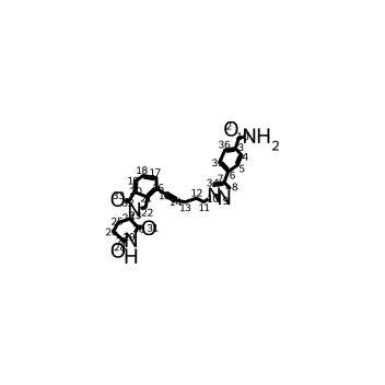 NC(=O)c1ccc(-c2cnn(CCCC#Cc3cccc4c3CN(C3CCC(=O)NC3=O)C4=O)c2)cc1